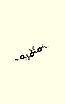 COC(=O)c1ccc(Cc2n[nH]c(=O)c3cc(NC(=O)Nc4cccc(OC)c4)ccc23)cc1